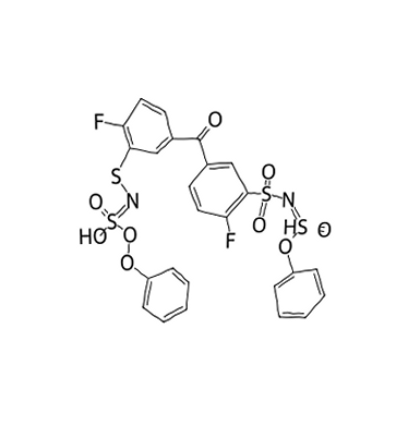 O=C(c1ccc(F)c(SN=S(=O)(O)OOc2ccccc2)c1)c1ccc(F)c(S(=O)(=O)/N=[SH](=O)\Oc2ccccc2)c1